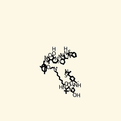 Cc1ncsc1-c1ccc([C@H](C)NC(=O)[C@@H]2C[C@@H](O)CN2C(=O)[C@@H](NC(=O)CCCCCCCN(C)CCOC23CC4(C)CC(C)(CC(Cn5ncc(-c6ccc(N7CCCc8c7nnc(Nc7nc9ccccc9s7)c8C)nc6C(=O)O)c5C)(C4)C2)C3)C(C)(C)C)cc1